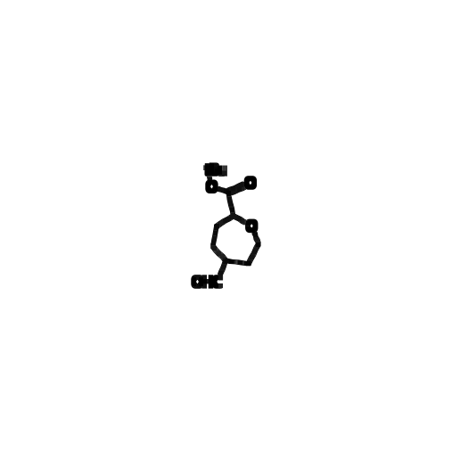 CC(C)(C)OC(=O)C1CCC(C=O)CCO1